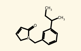 CCC(C)c1cccc(CN2CC=CC2=O)c1